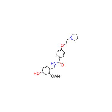 COc1cc(O)ccc1CNC(=O)c1ccc(OCCN2CCCC2)cc1